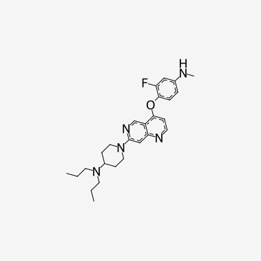 CCCN(CCC)C1CCN(c2cc3nccc(Oc4ccc(NC)cc4F)c3cn2)CC1